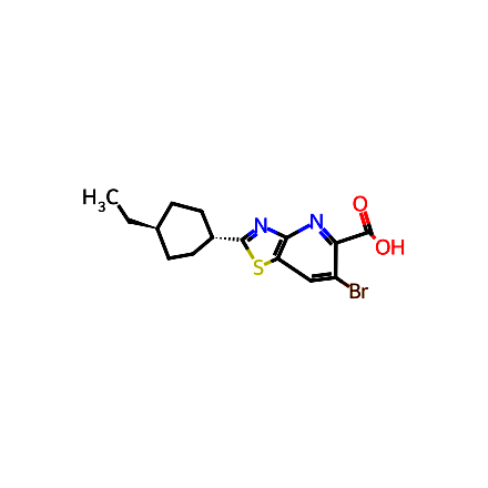 CC[C@H]1CC[C@H](c2nc3nc(C(=O)O)c(Br)cc3s2)CC1